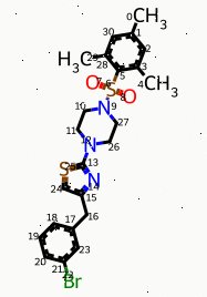 Cc1cc(C)c(S(=O)(=O)N2CCN(c3nc(Cc4cccc(Br)c4)cs3)CC2)c(C)c1